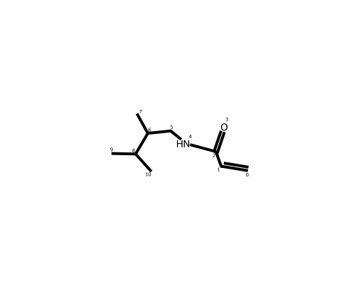 C=CC(=O)NCC(C)C(C)C